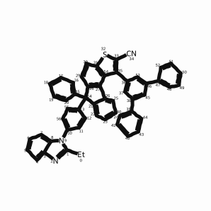 CCc1nc2ccccc2n1-c1ccc(C2(c3ccccc3)c3ccccc3-c3c2ccc2sc(C#N)c(-c4cc(-c5ccccc5)cc(-c5ccccc5)c4)c32)cc1